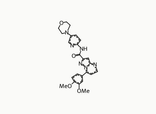 COc1ccc(-c2ccnc3cc(C(=O)Nc4ccc(N5CCOCC5)cn4)nn23)cc1OC